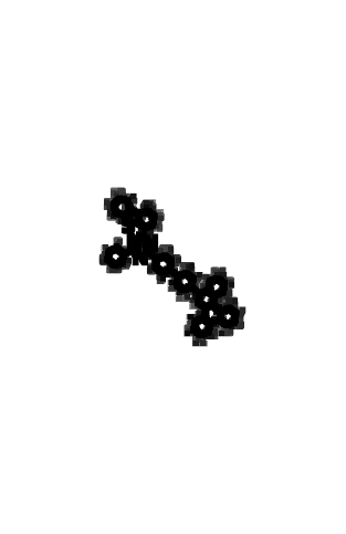 c1ccc(-c2nc(-c3ccc(-c4ccc(-c5cc6c7ccccc7c7ccccc7c6c6ccccc56)cc4)cc3)nc(-c3cccc4c3sc3ccccc34)n2)cc1